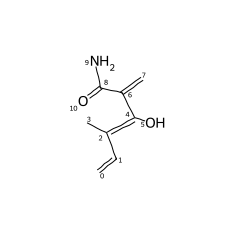 C=C/C(C)=C(\O)C(=C)C(N)=O